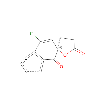 O=C1CC[C@]2(C=C(Cl)c3ccccc3C2=O)O1